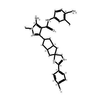 Cc1cc(NC(=O)c2c(C3CC4CC5(CN=C(c6ccc(F)cc6)O5)CC4C3)nn(C)c2N)ccc1P